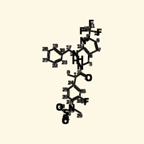 CC(C(=O)NCc1ccc(C(F)(F)F)nc1NCc1ccccc1)c1ccc(N(C)[SH](=O)=O)c(F)c1